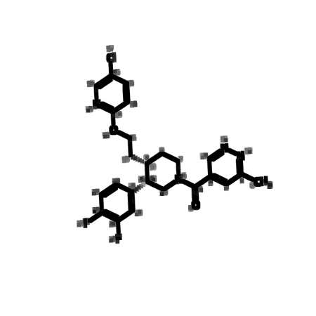 Cc1cc(C(=O)N2CC[C@@H](CCOc3ccc(Cl)cn3)[C@@H](c3ccc(F)c(F)c3)C2)cnn1